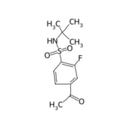 CC(=O)c1ccc(S(=O)(=O)NC(C)(C)C)c(F)c1